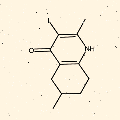 Cc1[nH]c2c(c(=O)c1I)CC(C)CC2